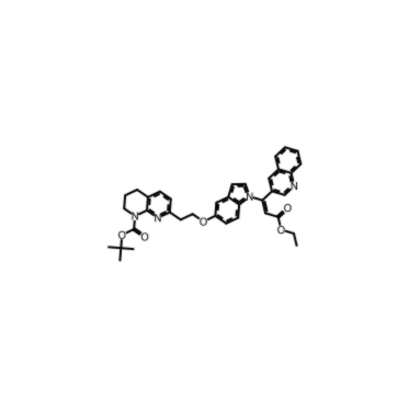 CCOC(=O)/C=C(\c1cnc2ccccc2c1)n1ccc2cc(OCCc3ccc4c(n3)N(C(=O)OC(C)(C)C)CCC4)ccc21